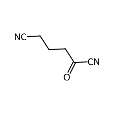 N#CCCCC(=O)C#N